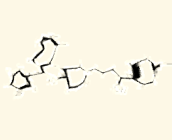 OC(CCCN1CCC(OC(c2ccccc2)c2ccccc2)CC1)c1ccc(F)cc1